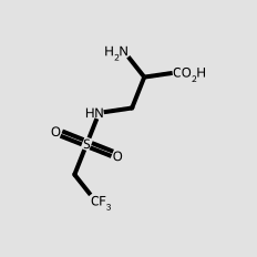 NC(CNS(=O)(=O)CC(F)(F)F)C(=O)O